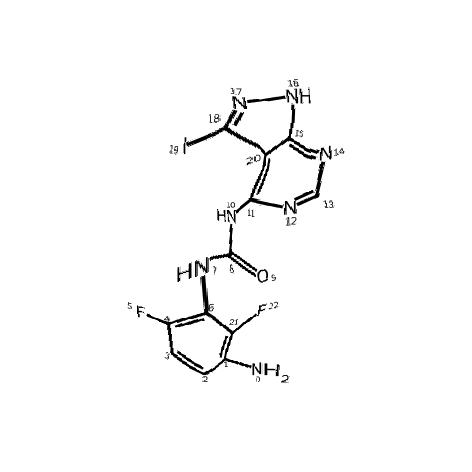 Nc1ccc(F)c(NC(=O)Nc2ncnc3[nH]nc(I)c23)c1F